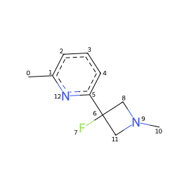 Cc1cccc(C2(F)CN(C)C2)n1